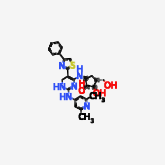 Cc1cc(NC2=NC(N[C@@H]3C[C@H](CO)[C@@H](O)[C@H]3O)=C(c3nc(-c4ccccc4)cs3)CN2)cc(C)n1